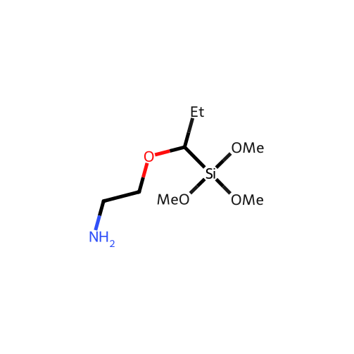 CCC(OCCN)[Si](OC)(OC)OC